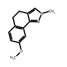 COc1ccc2c(c1)-c1nn(C)cc1CC2